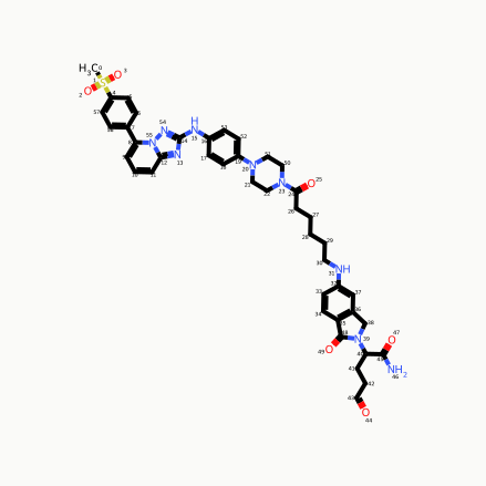 CS(=O)(=O)c1ccc(-c2cccc3nc(Nc4ccc(N5CCN(C(=O)CCCCCNc6ccc7c(c6)CN(C(CCC=O)C(N)=O)C7=O)CC5)cc4)nn23)cc1